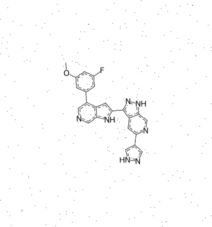 COc1cc(F)cc(-c2cncc3[nH]c(-c4n[nH]c5cnc(-c6cn[nH]c6)cc45)cc23)c1